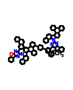 CC1(C)c2ccccc2-c2nc(-n3c4ccc5c6ccccc6c6ccccc6c5c4c4ccc5ccccc5c43)nc(-c3cc(-c4ccc(-c5cccc6c7ccc8c(c9ccc%10ccccc%10c9n8-c8nc9c(nc8-c8ccc%10ccc%11ccccc%11c%10c8)oc8ccccc89)c7c7ccccc7c56)cc4)cc4ccccc34)c21